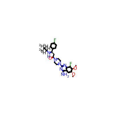 [2H]C([2H])([2H])C([2H])([2H])N[C@H](CC(=O)N1CCN(c2nc(N)c3cc(OC)c(OC)c(F)c3n2)CC1)c1ccc(F)cc1